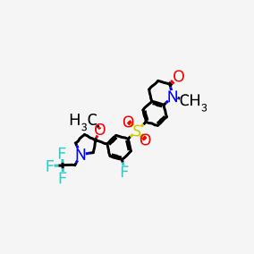 COC1(c2cc(F)cc(S(=O)(=O)c3ccc4c(c3)CCC(=O)N4C)c2)CCN(CC(F)(F)F)C1